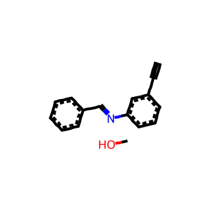 C#Cc1cccc(N=Cc2ccccc2)c1.CO